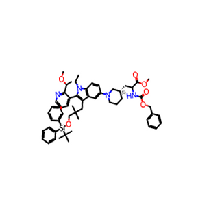 CCn1c(-c2cccnc2C(C)OC)c(CC(C)(C)CO[Si](c2ccccc2)(c2ccccc2)C(C)(C)C)c2cc(N3CCC[C@@H](CC(NC(=O)OCc4ccccc4)C(=O)OC)C3)ccc21